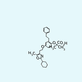 Cc1oc(C2CCCCC2)nc1CCOc1ccc(OC(C)(C)C(=O)O)c(CCc2ccccc2)c1